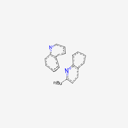 CCCCc1ccc2ccccc2n1.c1ccc2ncccc2c1